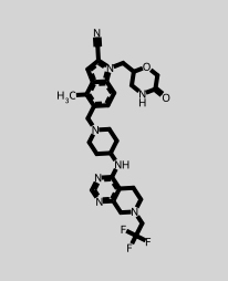 Cc1c(CN2CCC(Nc3ncnc4c3CCN(CC(F)(F)F)C4)CC2)ccc2c1cc(C#N)n2CC1CNC(=O)CO1